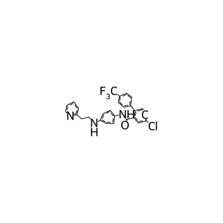 O=C(Nc1ccc(NCCc2ccccn2)cc1)c1cc(Cl)ccc1-c1ccc(C(F)(F)F)cc1